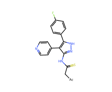 CC(=O)CC(=S)Nc1n[nH]c(-c2ccc(F)cc2)c1-c1ccncc1